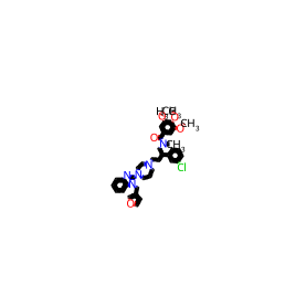 COc1cc(C(=O)N(C)CC(CCN2CCCN(c3nc4ccccc4n3Cc3ccoc3)CC2)c2cccc(Cl)c2)cc(OC)c1OC